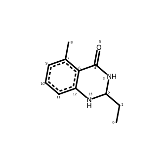 CCC1NC(=O)c2c(C)cccc2N1